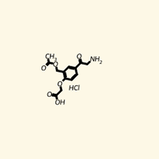 CC(=O)OCc1cc(C(=O)CN)ccc1OCC(=O)O.Cl